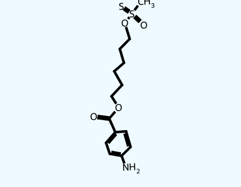 CS(=O)(=S)OCCCCCCOC(=O)c1ccc(N)cc1